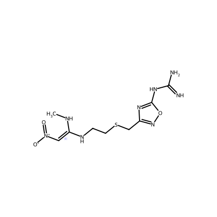 CN/C(=C\[N+](=O)[O-])NCCSCc1noc(NC(=N)N)n1